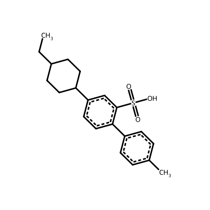 CCC1CCC(c2ccc(-c3ccc(C)cc3)c(S(=O)(=O)O)c2)CC1